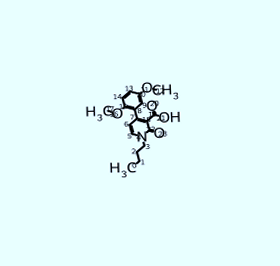 CCCCn1ccc(-c2cc(OC)ccc2OC)c(C(=O)O)c1=O